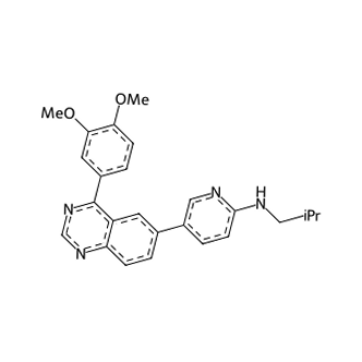 COc1ccc(-c2ncnc3ccc(-c4ccc(NCC(C)C)nc4)cc23)cc1OC